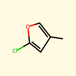 Cc1coc(Cl)c1